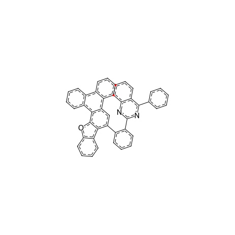 c1ccc(-c2nc(-c3ccccc3-c3cc4c5ccccc5c5ccccc5c4c4oc5ccccc5c34)nc3ccccc23)cc1